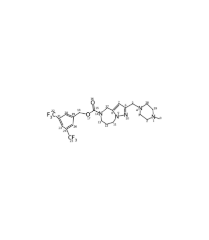 CN1CCN(Cc2cc3n(n2)CCCN(C(=O)OCc2cc(C(F)(F)F)cc(C(F)(F)F)c2)C3)CC1